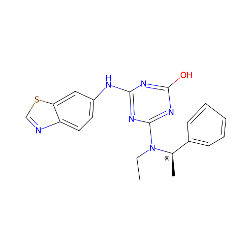 CCN(c1nc(O)nc(Nc2ccc3ncsc3c2)n1)[C@H](C)c1ccccc1